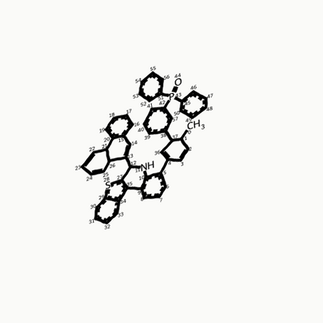 CC1C=CC(c2cccc3c2NC(C2=Cc4ccccc4C4C=CC=CC24)c2sc4ccccc4c2-3)=CC1c1cccc(P(=O)(c2ccccc2)c2ccccc2)c1